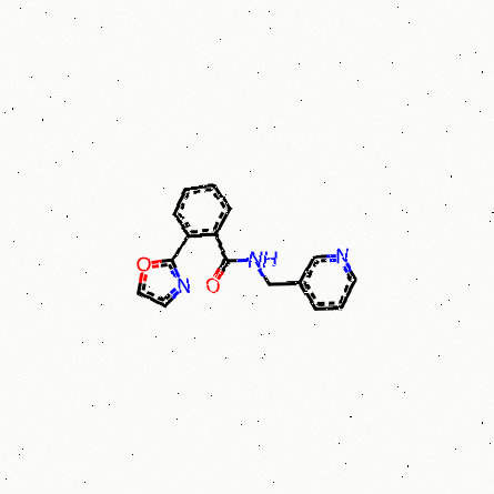 O=C(NCc1cccnc1)c1ccccc1-c1ncco1